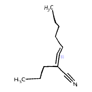 CCC/C=C(/C#N)CCC